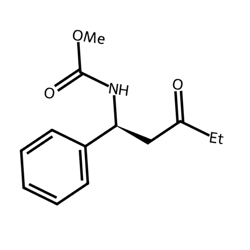 CCC(=O)C[C@H](NC(=O)OC)c1ccccc1